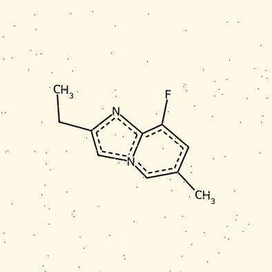 CCc1cn2cc(C)cc(F)c2n1